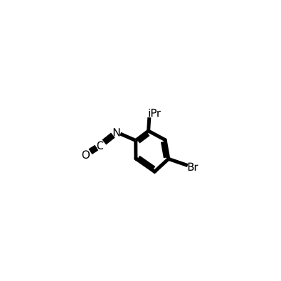 CC(C)c1cc(Br)ccc1N=C=O